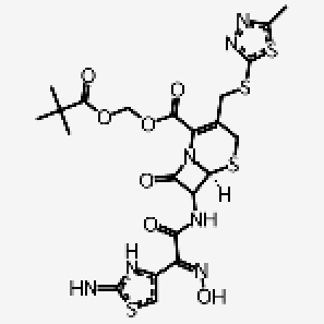 Cc1nnc(SCC2=C(C(=O)OCOC(=O)C(C)(C)C)N3C(=O)C(NC(=O)C(=NO)c4csc(=N)[nH]4)[C@@H]3SC2)s1